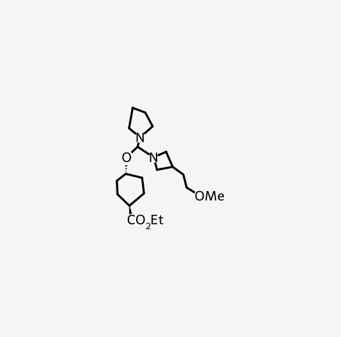 CCOC(=O)[C@H]1CC[C@H](OC(N2CCCC2)N2CC(CCOC)C2)CC1